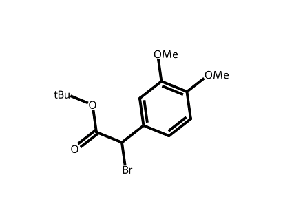 COc1ccc(C(Br)C(=O)OC(C)(C)C)cc1OC